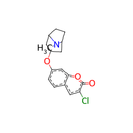 CN1C2CCC1CC(Oc1ccc3cc(Cl)c(=O)oc3c1)C2